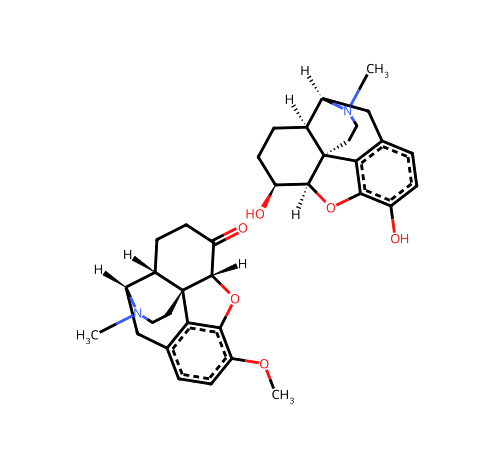 CN1CC[C@]23c4c5ccc(O)c4O[C@H]2[C@@H](O)CC[C@H]3[C@H]1C5.COc1ccc2c3c1O[C@H]1C(=O)CC[C@H]4[C@@H](C2)N(C)CC[C@]314